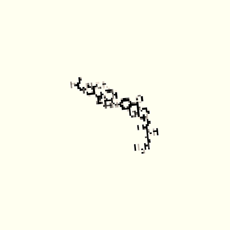 NCCNC(=O)CN1CCN(C(=O)c2ccc(Nc3nccn4c(-c5cn(CC(F)F)nc5C(F)(F)F)cnc34)cc2Cl)CC1